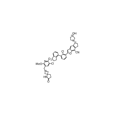 COc1nc(O[C@H]2CCc3c(-c4cccc(-c5cc6cc7c(c(C#N)c6o5)CC[C@H]7N5CC[C@@H](O)C5)c4Cl)cccc32)c(Cl)cc1CN1CC2(CCC(=O)N2)C1